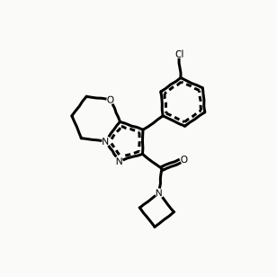 O=C(c1nn2c(c1-c1cccc(Cl)c1)OCCC2)N1CCC1